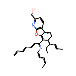 BCc1ccc2c3c(oc2n1)=C(C(/C=C/C=C/C=C)=N/C=C\C=C/C)C(C(C=CC)CC)CC=3